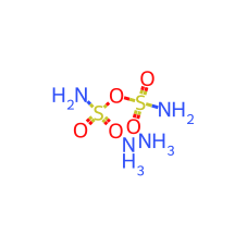 N.N.NS(=O)(=O)OS(N)(=O)=O